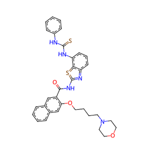 O=C(Nc1nc2cccc(NC(=S)Nc3ccccc3)c2s1)c1cc2ccccc2cc1OCCCCN1CCOCC1